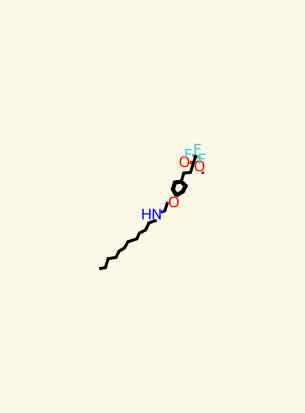 CCCCCCCCCCCCNCCOc1ccc(CCC(OC)(OC)C(F)(F)F)cc1